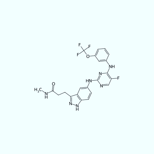 CNC(=O)CCc1n[nH]c2ccc(Nc3ncc(F)c(Nc4cccc(OC(F)(F)F)c4)n3)cc12